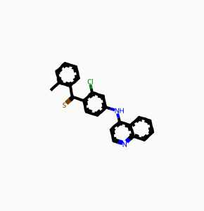 Cc1ccccc1C(=S)c1ccc(Nc2ccnc3ccccc23)cc1Cl